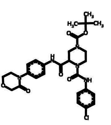 CC(C)(C)OC(=O)N1CCN(C(=O)Nc2ccc(Cl)cc2)C(C(=O)Nc2ccc(N3CCOCC3=O)cc2)C1